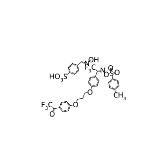 Cc1ccc(S(=O)(=O)ON=C(c2ccc(OCCCOc3ccc(C(=O)C(F)(F)F)cc3)cc2)C(F)(F)F)cc1.O=S(=O)(O)c1ccc(C=NO)cc1